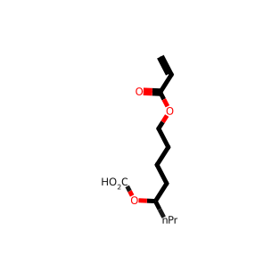 C=CC(=O)OCCCCC(CCC)OC(=O)O